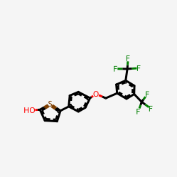 Oc1ccc(-c2ccc(OCc3cc(C(F)(F)F)cc(C(F)(F)F)c3)cc2)s1